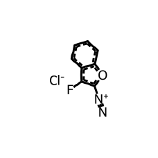 N#[N+]c1oc2ccccc2c1F.[Cl-]